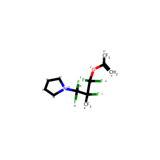 C=C(OC(F)(F)C(F)(C(F)(F)F)C(F)(F)N1CCCC1)C(F)(F)F